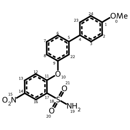 COc1ccc(-c2cccc(Oc3ccc([N+](=O)[O-])cc3S(N)(=O)=O)c2)cc1